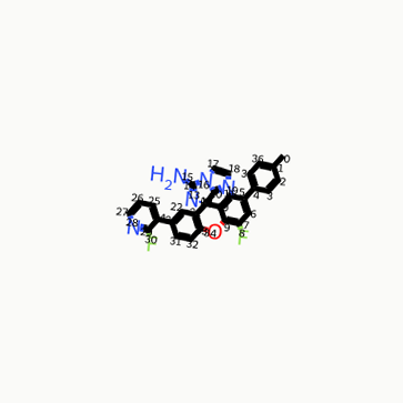 Cc1ccc(-c2cc(F)c3c(c2)[C@@]2(N=C(N)n4ccnc42)c2cc(-c4cccnc4F)ccc2O3)cc1